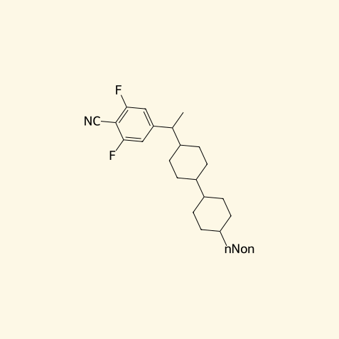 CCCCCCCCCC1CCC(C2CCC(C(C)c3cc(F)c(C#N)c(F)c3)CC2)CC1